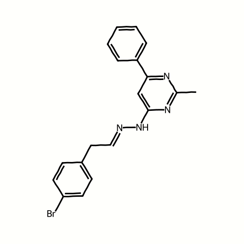 Cc1nc(NN=CCc2ccc(Br)cc2)cc(-c2ccccc2)n1